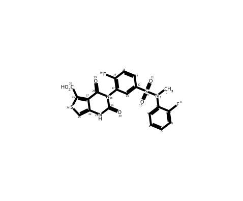 CN(c1ccccc1F)S(=O)(=O)c1ccc(F)c(-n2c(=O)[nH]c3csc(C(=O)O)c3c2=O)c1